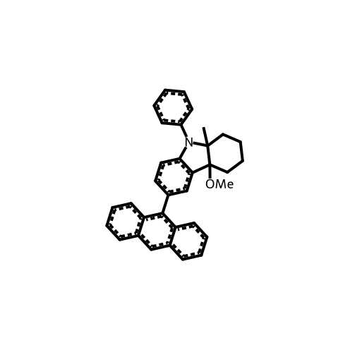 COC12CCCCC1(C)N(c1ccccc1)c1ccc(-c3c4ccccc4cc4ccccc34)cc12